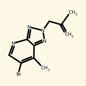 C=C(C)Cn1nc2ncc(Br)c(C)c2n1